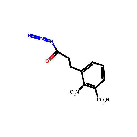 [N-]=[N+]=NC(=O)CCc1cccc(C(=O)O)c1[N+](=O)[O-]